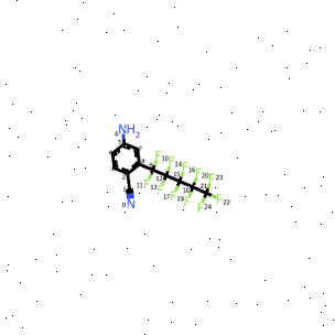 N#Cc1ccc(N)cc1C(F)(F)C(F)(F)C(F)(F)C(F)(F)C(F)(F)F